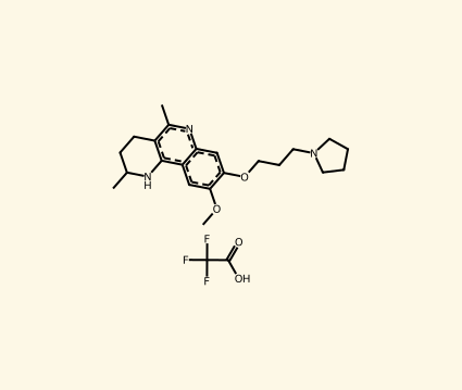 COc1cc2c3c(c(C)nc2cc1OCCCN1CCCC1)CCC(C)N3.O=C(O)C(F)(F)F